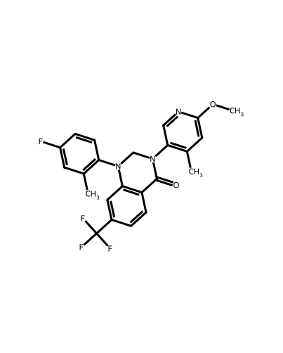 COc1cc(C)c(N2CN(c3ccc(F)cc3C)c3cc(C(F)(F)F)ccc3C2=O)cn1